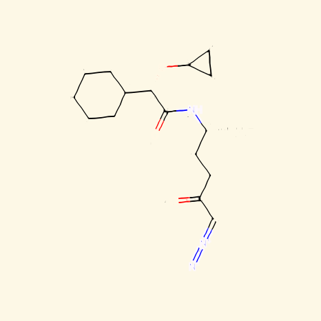 [N-]=[N+]=CC(=O)CC[C@H](NC(=O)[C@@H](OC1CC1)C1CCCCC1)C(=O)O